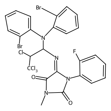 CN1C(=O)/C(=N\C(C(Cl)C(Cl)(Cl)Cl)N(c2ccccc2Br)c2ccccc2Br)N(c2ccccc2F)C1=O